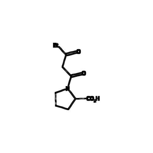 CCC(=O)CC(=O)N1CCCC1C(=O)O